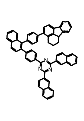 c1ccc2c(c1)-c1ccc(-c3ccc(-c4c(-c5ccc(-c6nc(-c7ccc8ccccc8c7)nc(-c7ccc8ccccc8c7)n6)cc5)ccc5ccccc45)cc3)c3c1C2CCC3